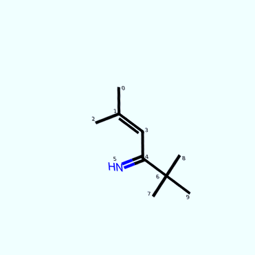 CC(C)=CC(=N)C(C)(C)C